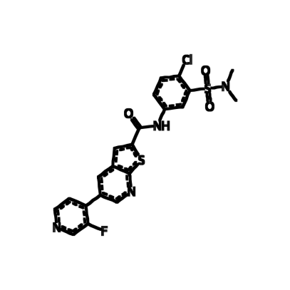 CN(C)S(=O)(=O)c1cc(NC(=O)c2cc3cc(-c4ccncc4F)cnc3s2)ccc1Cl